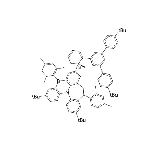 CC1=CC(C)=C(B2c3cc(C(C)(C)C)ccc3N3c4ccc(C(C)(C)C)cc4C(c4ccc(C)cc4C)Cc4cc([C@]5(C)CC=CC=C5c5cc(-c6ccc(C(C)(C)C)cc6)cc(-c6ccc(C(C)(C)C)cc6)c5)cc2c43)C(C)C1